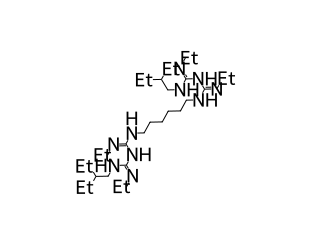 CCN=C(NCCCCCCNC(=NCC)NC(=NCC)NCC(CC)CC)NC(=NCC)NCC(CC)CC